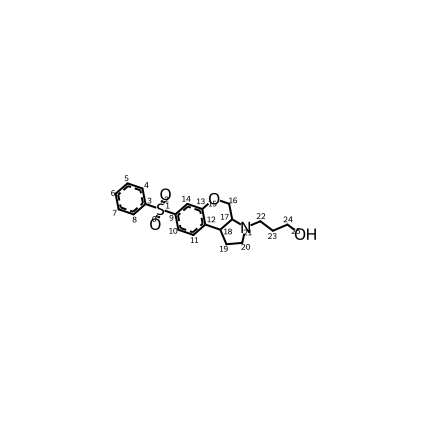 O=S(=O)(c1ccccc1)c1ccc2c(c1)OCC1C2CCN1CCCO